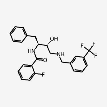 O=C(N[C@@H](Cc1ccccc1)[C@H](O)CNCc1cccc(C(F)(F)F)c1)c1ccccc1F